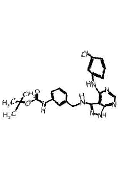 CC(C)(C)OC(=O)Nc1cccc(CNc2n[nH]c3ncnc(Nc4cccc(Cl)c4)c23)c1